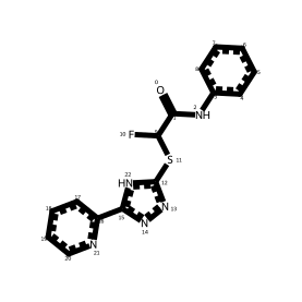 O=C(Nc1ccccc1)C(F)Sc1nnc(-c2ccccn2)[nH]1